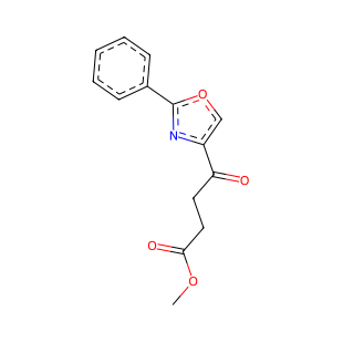 COC(=O)CCC(=O)c1coc(-c2ccccc2)n1